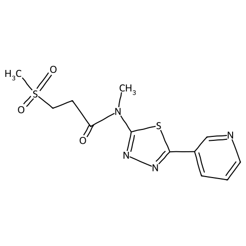 CN(C(=O)CCS(C)(=O)=O)c1nnc(-c2cccnc2)s1